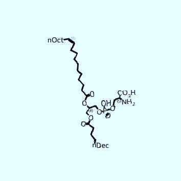 CCCCCCCC/C=C\CCCCCCCCCC(=O)O[C@H](COC(=O)CCCCCCCCCCCCC)COP(=O)(O)OC[C@H](N)C(=O)O